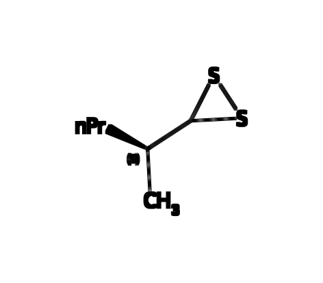 CCC[C@H](C)C1SS1